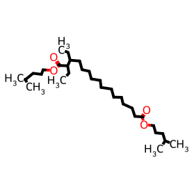 CCC(CCCCCCCCCCCCC(=O)OCCCC(C)C)C(CC)C(=O)OCCCC(C)C